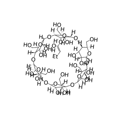 CC/C=C(\O)O[C@@H]1[C@@H](O)[C@H]2O[C@H]3[C@H](O)[C@@H](O)[C@@H](O[C@H]4[C@H](O)[C@@H](O)[C@@H](O[C@H]5[C@H](O)[C@@H](O)[C@@H](O[C@H]6[C@H](O)[C@@H](O)[C@@H](O[C@H]7[C@H](O)[C@@H](O)[C@@H](O[C@H]1[C@@H](CO)O2)O[C@@H]7CO)O[C@@H]6CO)O[C@@H]5CO)O[C@@H]4CO)O[C@@H]3CO